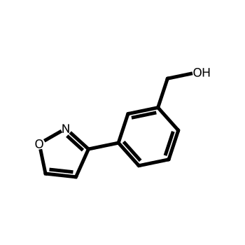 OCc1cccc(-c2ccon2)c1